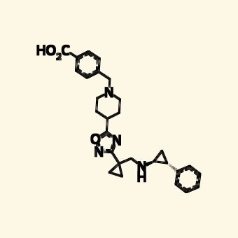 O=C(O)c1ccc(CN2CCC(c3nc(C4(CN[C@H]5C[C@@H]5c5ccccc5)CC4)no3)CC2)cc1